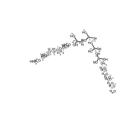 O.O.O.O.O.O.O.O.O.O.O.O.O.O.O.O.O.O.O.O.OB(O)O.OB(O)O.OB(O)O.OB(O)O.[NaH]